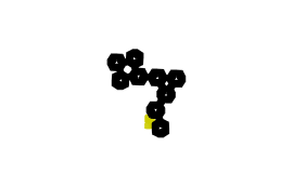 c1ccc2c(c1)-c1ccccc1-c1ccc(-c3ccc4c5ccccc5c5ccc(-c6ccc7sc8ccccc8c7c6)cc5c4c3)cc1-c1ccccc1-2